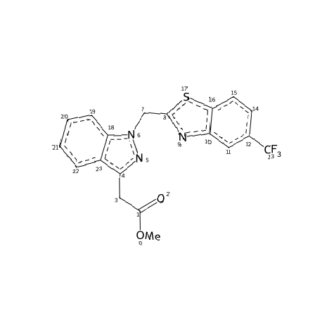 COC(=O)Cc1nn(Cc2nc3cc(C(F)(F)F)ccc3s2)c2ccccc12